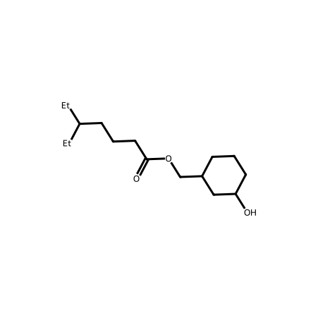 CCC(CC)CCCC(=O)OCC1CCCC(O)C1